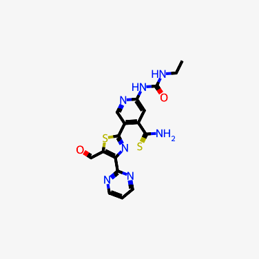 CCNC(=O)Nc1cc(C(N)=S)c(-c2nc(-c3ncccn3)c(C=O)s2)cn1